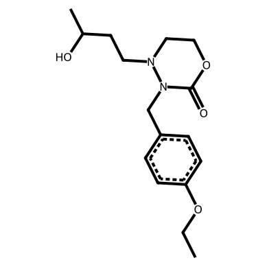 CCOc1ccc(CN2C(=O)OCCN2CCC(C)O)cc1